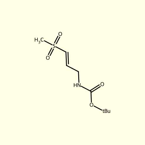 CC(C)(C)OC(=O)NC/C=C/S(C)(=O)=O